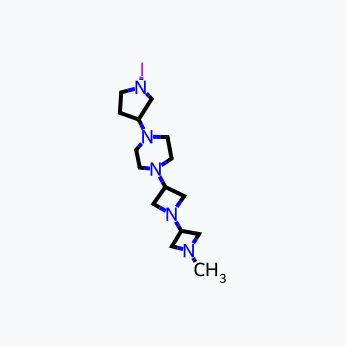 CN1CC(N2CC(N3CCN(C4CCN(I)C4)CC3)C2)C1